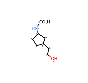 O=C(O)NC1CCC(CCO)C1